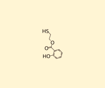 O=C(OCCS)c1ccccc1O